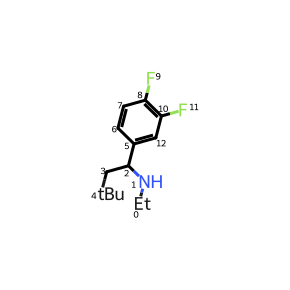 CCNC(CC(C)(C)C)c1ccc(F)c(F)c1